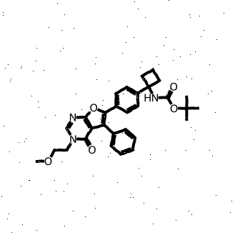 COCCn1cnc2oc(-c3ccc(C4(NC(=O)OC(C)(C)C)CCC4)cc3)c(-c3ccccc3)c2c1=O